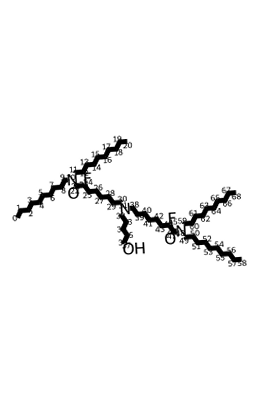 CCCCCCCCCCN(CCCCCCCCCC)C(=O)C(F)CCCCCCN(CCCCCO)CCCCCCC(F)C(=O)N(CCCCCCCCCC)CCCCCCCCCC